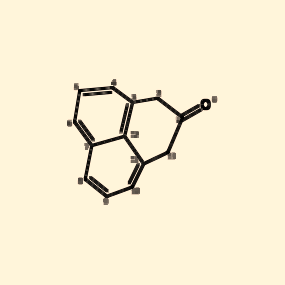 O=C1Cc2cccc3cccc(c23)C1